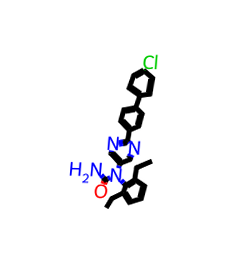 CCc1cccc(CC)c1N(C(N)=O)c1cnc(-c2ccc(-c3ccc(Cl)cc3)cc2)nc1